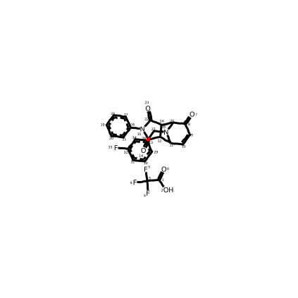 O=C(O)C(F)(F)F.O=C1C=CC2C3C(=O)N(c4ccccc4)C(=O)C3C1N2Cc1cccc(F)c1